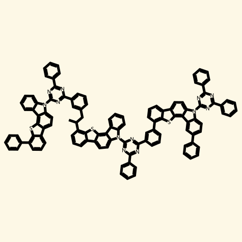 CC(Cc1cccc(-c2nc(-c3ccccc3)nc(-n3c4ccccc4c4c5sc6c(-c7ccccc7)cccc6c5ccc43)n2)c1)c1cccc2c1sc1c2ccc2c1c1ccccc1n2-c1nc(-c2ccccc2)nc(-c2cccc(-c3cccc4c3sc3c4ccc4c3c3cc(-c5ccccc5)ccc3n4-c3nc(-c4ccccc4)nc(-c4ccccc4)n3)c2)n1